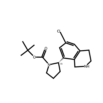 CC(C)(C)OC(=O)N1CCC[C@H]1c1cc(Cl)cc2c1CNCC2